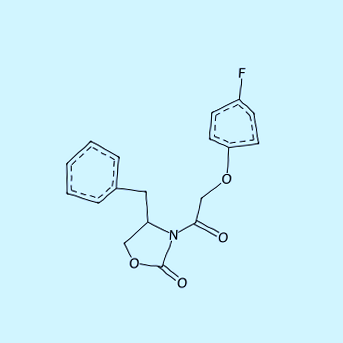 O=C(COc1ccc(F)cc1)N1C(=O)OCC1Cc1ccccc1